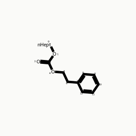 CCCCCCCOC(=O)OCCc1ccccc1